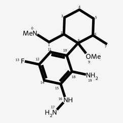 CNCC1CCCC(C)C1(OC)c1cc(F)cc(NN)c1N